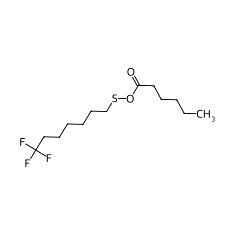 CCCCCC(=O)OSCCCCCCC(F)(F)F